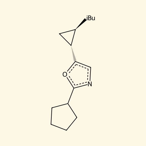 CCC(C)[C@@H]1C[C@H]1c1cnc(C2CCCC2)o1